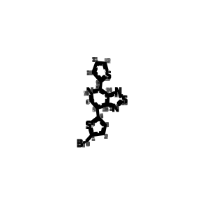 Brc1ccc(-c2cnc(-c3cccs3)c3nsnc23)s1